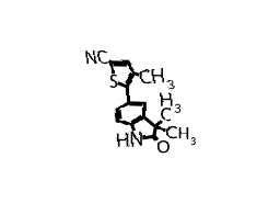 Cc1cc(C#N)sc1-c1ccc2c(c1)C(C)(C)C(=O)N2